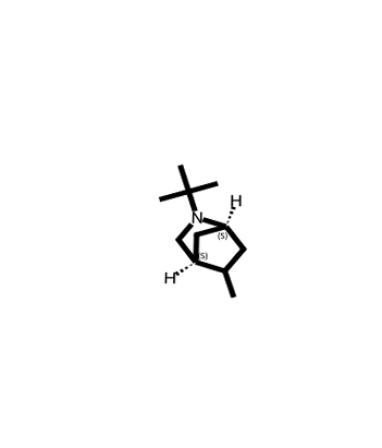 CC1C[C@H]2C[C@@H]1CN2C(C)(C)C